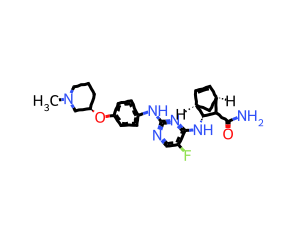 CN1CCC[C@H](Oc2ccc(Nc3ncc(F)c(N[C@H]4C(C(N)=O)[C@@H]5C=C[C@H]4C5)n3)cc2)C1